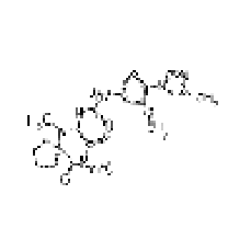 COc1cc(Nc2ncc3c(n2)N(C)C2(CCCC2)C(=O)N3C)ccc1-n1cnc(C)c1